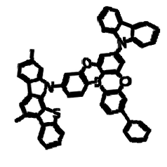 Cc1ccc2c3cc(C)c4c5ccccc5sc4c3n(-c3ccc4c(c3)Oc3cc(-n5c6ccccc6c6ccccc65)cc5c3B4c3ccc(-c4ccccc4)cc3O5)c2c1